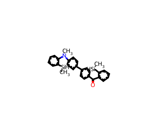 CN1c2ccccc2[Si@H](C)c2cc(-c3ccc4c(c3)[Si@H](C)c3ccccc3C4=O)ccc21